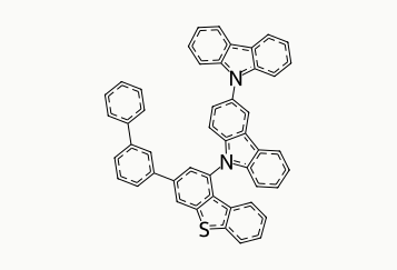 c1ccc(-c2cccc(-c3cc(-n4c5ccccc5c5cc(-n6c7ccccc7c7ccccc76)ccc54)c4c(c3)sc3ccccc34)c2)cc1